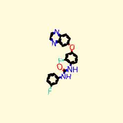 O=C(Nc1cccc(F)c1)Nc1ccc(Oc2ccc3nccnc3c2)cc1F